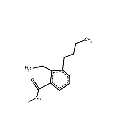 CCCCc1cccc(C(=O)NF)c1CC